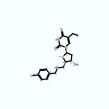 CCc1cn([C@H]2C[C@H](O)[C@@H](CNCc3ccc(Cl)cc3)O2)c(=O)[nH]c1=O